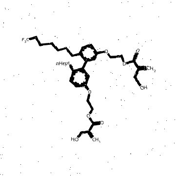 C=C(CO)C(=O)OCCOc1ccc(CCCCCCC)c(-c2cc(OCCOC(=O)C(=C)CO)ccc2CCCCCCC(F)(F)F)c1